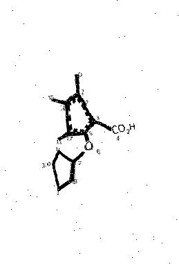 Cc1cc(C(=O)O)c(OC2CCCC2)c(C)c1C